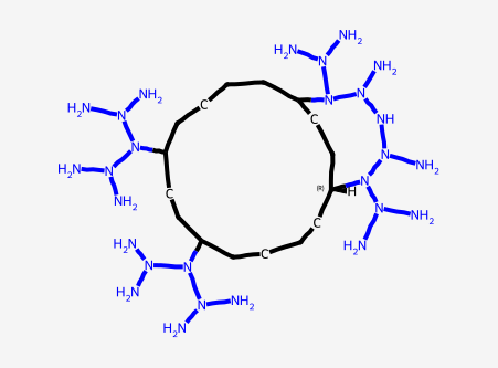 NN(N)N(C1CCCCC2CC[C@@H](CCCCC(N(N(N)N)N(N)N)CC1)N(N(N)N)N(N)NN(N)N2N(N)N)N(N)N